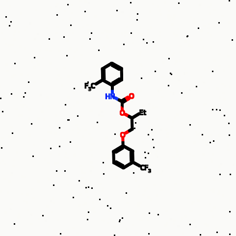 CCC(COc1cccc(C(F)(F)F)c1)OC(=O)Nc1ccccc1C(F)(F)F